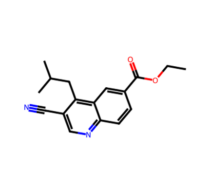 CCOC(=O)c1ccc2ncc(C#N)c(CC(C)C)c2c1